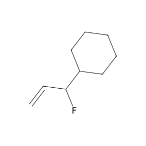 C=CC(F)C1CCCCC1